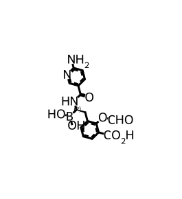 Nc1ccc(C(=O)N[C@@H](Cc2cccc(C(=O)O)c2OC=O)B(O)O)cn1